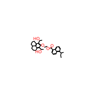 CCC(C)c1cccc2c(C(=O)OCCOc3c(C(C)O)c4c5c(c3C(C)O)CCCC5CCC4)cccc12